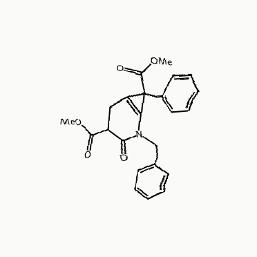 COC(=O)C1CC2=C(N(Cc3ccccc3)C1=O)C2(C(=O)OC)c1ccccc1